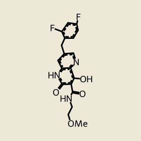 COCCNC(=O)c1c(O)c2ncc(Cc3ccc(F)cc3F)cc2[nH]c1=O